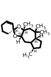 C[C@@H]1CC[C@@H]2C1C[C@@H]1O[C@@]3(C=CCCC3)O[C@]1(C)CC2(C)C